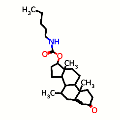 CCCCCNC(=O)OC1CCC2C3C(C)CC4=CC(=O)CCC4(C)C3CCC12C